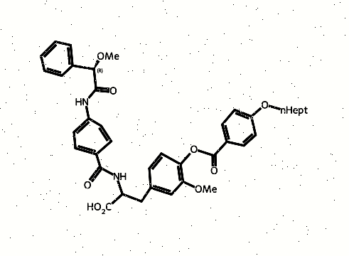 CCCCCCCOc1ccc(C(=O)Oc2ccc(CC(NC(=O)c3ccc(NC(=O)[C@H](OC)c4ccccc4)cc3)C(=O)O)cc2OC)cc1